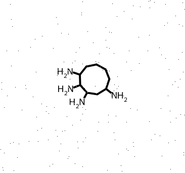 NC1CCCCC(N)C(N)C(N)C1